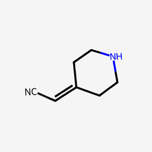 N#CC=C1CCNCC1